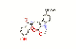 COc1ccc2c(c1)c(/C=C1\Oc3cc(O)ccc3C1=O)c1n2CCOC1=O